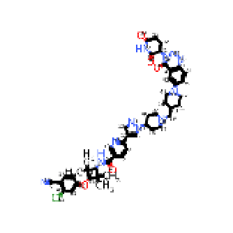 CC1(C)C(NC(=O)c2ccc(-c3cnn(C4CCN(CC5CCN(c6ccc7nnn(C8CCC(=O)NC8=O)c(=O)c7c6)CC5)CC4)c3)nc2)C(C)(C)C1Oc1ccc(C#N)c(Cl)c1